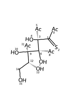 CC(=O)C(=S)[C@@](O)(C(C)=O)[C@](O)(C(C)=O)[C@@](O)(C(C)=O)[C@H](O)CO